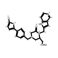 COCC1CN(Cc2ccc(-c3ccc(Cl)s3)cc2)CC(=O)N1Cc1cc2cnccc2[nH]1